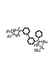 CC(C)[Si](P[Si](C)(C)c1cccc(-c2cccc([Si](P[Si](C)(C)C(C)(C)C)(c3ccccc3)C(C)(C)C)c2)c1)(C(C)C)C(C)C